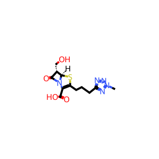 Cn1nnc(CCCC2=C(C(=O)O)N3C(=O)[C@H](CO)[C@H]3S2)n1